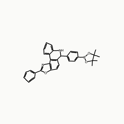 CC1(C)OB(c2ccc(C3Nc4ccccc4-c4c3ccc3oc(-c5ccccc5)nc43)cc2)OC1(C)C